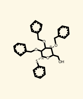 OCC1O[C@H](Sc2ccccc2)C(OCc2ccccc2)C(OCc2ccccc2)[C@@H]1OCc1ccccc1